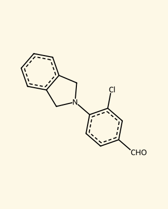 O=Cc1ccc(N2Cc3ccccc3C2)c(Cl)c1